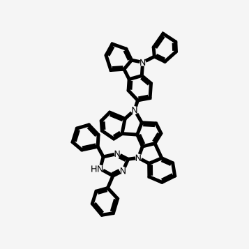 c1ccc(C2=NC(n3c4ccccc4c4ccc5c(c6ccccc6n5-c5ccc6c(c5)c5ccccc5n6-c5ccccc5)c43)=NC(c3ccccc3)N2)cc1